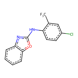 FC(F)(F)c1cc(Cl)ccc1Nc1nc2ccccc2o1